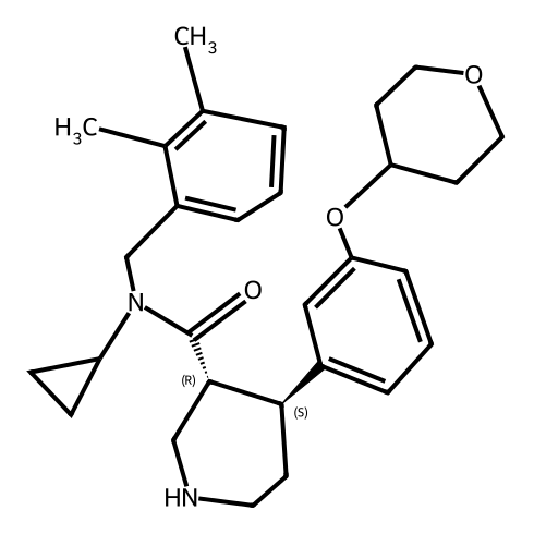 Cc1cccc(CN(C(=O)[C@H]2CNCC[C@@H]2c2cccc(OC3CCOCC3)c2)C2CC2)c1C